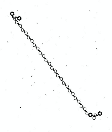 O=C(OCc1ccccc1)c1ccc(OCCOCCOCCOCCOCCOCCOCCOCCOCCOCCOCCOCCOCCOCCOCCOCCOCCOCCOCCOCCOCCOCCOCCOCCOCCN(Cc2ccccc2)Cc2ccccc2)cc1